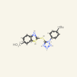 CC(C)(C)c1ccc(-n2nnnc2Sc2nc3ccc(C(=O)O)cc3s2)cc1